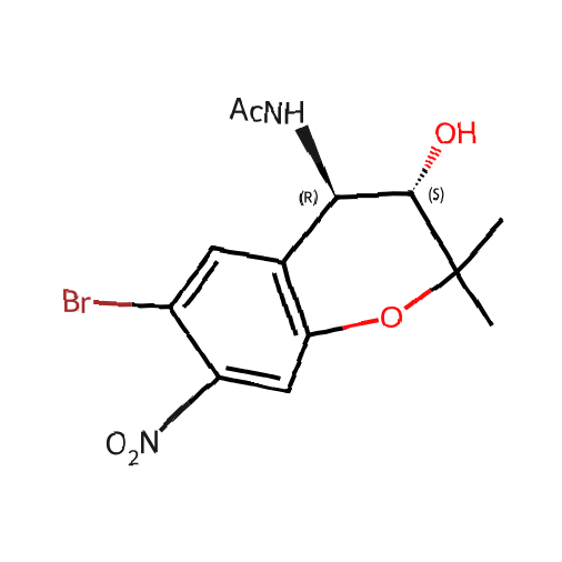 CC(=O)N[C@@H]1c2cc(Br)c([N+](=O)[O-])cc2OC(C)(C)[C@H]1O